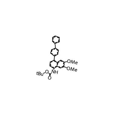 COc1cc2c(NC(=O)OC(C)(C)C)ccc(-c3ccc(-c4ccccc4)cc3)c2cc1OC